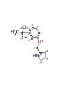 CC(C)(C)c1cccc(OC[C@H]2CCCN2)c1